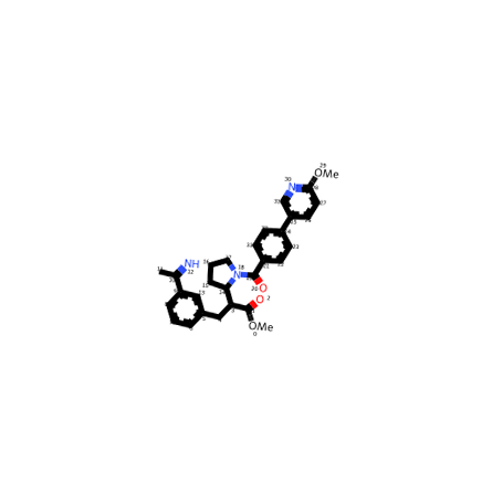 COC(=O)C(Cc1cccc(C(C)=N)c1)C1CCCN1C(=O)c1ccc(-c2ccc(OC)nc2)cc1